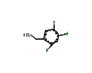 Fc1cc(F)c([CH2][SnH])cc1F